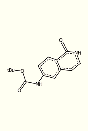 CC(C)(C)OC(=O)Nc1ccc2c(=O)[nH]ccc2c1